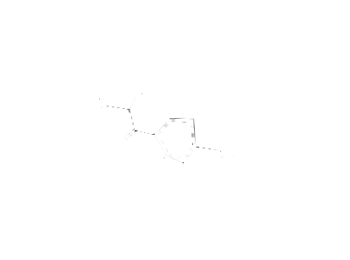 O=C(c1ccc([N+](=O)[O-])cc1)C(Br)Br